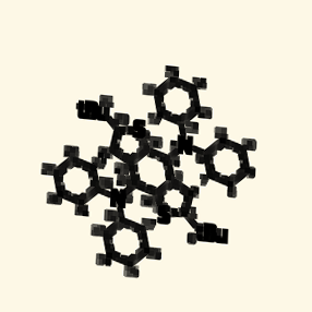 CC(C)(C)c1cc2c(N(c3ccccc3)c3ccccc3)c3sc(C(C)(C)C)cc3c(N(c3ccccc3)c3ccccc3)c2s1